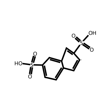 O=S(=O)(O)c1[c]cc2ccc(S(=O)(=O)O)cc2c1